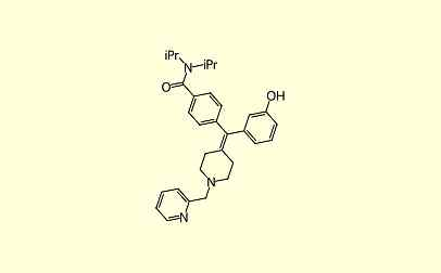 CC(C)N(C(=O)c1ccc(C(=C2CCN(Cc3ccccn3)CC2)c2cccc(O)c2)cc1)C(C)C